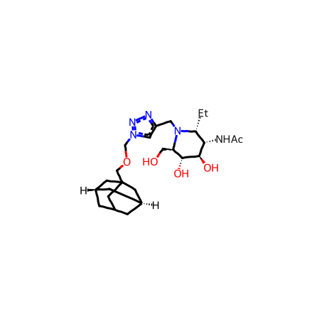 CC[C@@H]1[C@H](NC(C)=O)[C@@H](O)[C@H](O)[C@@H](CO)N1Cc1cn(COCC23CC4C[C@H](C2)C[C@H](C4)C3)nn1